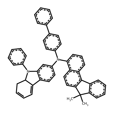 CC1(C)c2ccccc2-c2c1ccc1c(N(c3ccc(-c4ccccc4)cc3)c3ccc4c(c3)N(c3ccccc3)C3CC=CC=C43)cccc21